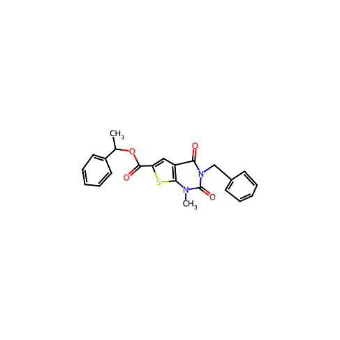 CC(OC(=O)c1cc2c(=O)n(Cc3ccccc3)c(=O)n(C)c2s1)c1ccccc1